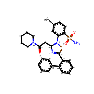 CCCc1ccc(S(N)(=O)=O)c(N2SC(c3ccccc3-c3ccccc3)=NC2CC(=O)N2CCCCC2)c1